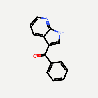 O=C(c1ccccc1)c1c[nH]c2ncccc12